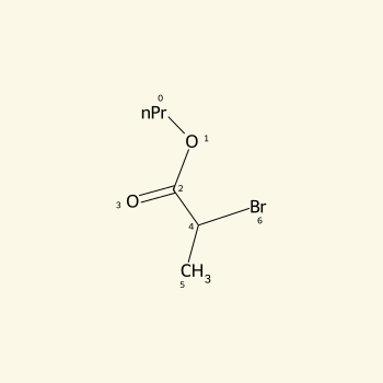 CCCOC(=O)C(C)Br